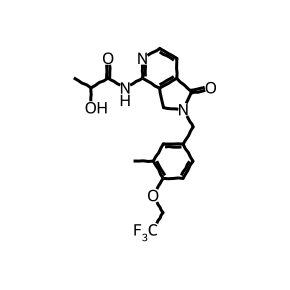 Cc1cc(CN2Cc3c(ccnc3NC(=O)C(C)O)C2=O)ccc1OCC(F)(F)F